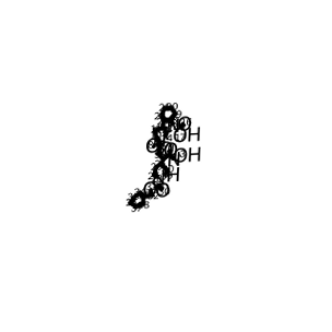 O=C(NO)C(CS(=O)(=O)N1CCc2c(n(C(=O)O)c3ccccc23)C1)C1CCN(C(=O)OCc2ccccc2)CC1